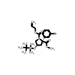 C=CCOC(=O)N1C[C@H](O[Si](C)(C)C(C)(C)C)C[C@@]1(C(=O)OC)c1cccc(Br)c1